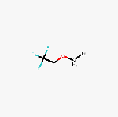 CC[SiH2]OCC(F)(F)F